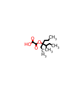 CCCC(CC)(OC(=O)C(=O)O)C(C)CC